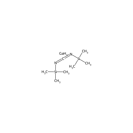 C[Si](C)(C)N=C=N[Si](C)(C)C.[GaH3]